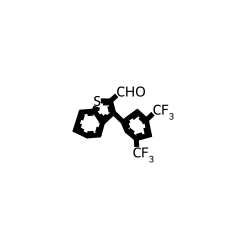 O=Cc1sc2ccccc2c1-c1cc(C(F)(F)F)cc(C(F)(F)F)c1